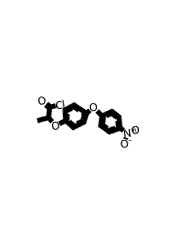 CC(Oc1ccc(Oc2ccc([N+](=O)[O-])cc2)cc1)C(=O)Cl